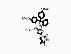 COc1ccc(C(OC[C@H]2O[C@@H](n3cc(C)c(=O)[nH]c3=O)CC2OC(=O)O)(c2ccccc2)c2ccc(OC)cc2)cc1